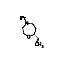 C=C[C@H]1CCN(C(C)C)CCO1